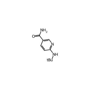 CC(C)(C)Nc1ccc(C(N)=O)cn1